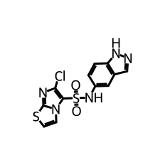 O=S(=O)(Nc1ccc2[nH]ncc2c1)c1c(Cl)nc2sccn12